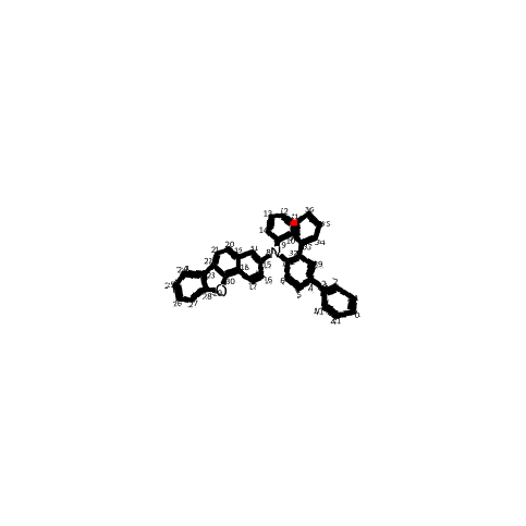 c1ccc(-c2ccc(N(c3ccccc3)c3ccc4c(ccc5c6ccccc6oc45)c3)c(-c3ccccc3)c2)cc1